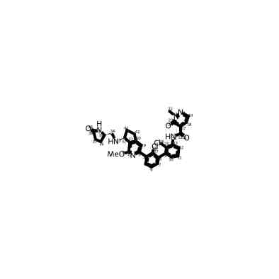 COc1nc(-c2cccc(-c3cccc(NC(=O)c4ccnn(C)c4=O)c3Cl)c2Cl)cc2c1[C@H](NC[C@@H]1CCC(=O)N1)CC2